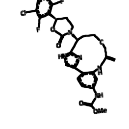 C=C1CCCC[C@H](N2CC[C@H](c3c(F)ccc(Cl)c3F)OC2=O)c2nc(c[nH]2)-c2ccc(NC(=O)OC)cc2N1